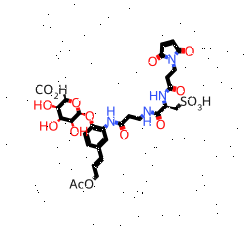 CC(=O)OC/C=C/c1ccc(O[C@@H]2O[C@H](C(=O)O)[C@H](O)[C@H](O)[C@@H]2O)c(NC(=O)CCNC(=O)[C@H](CS(=O)(=O)O)NC(=O)CCN2C(=O)C=CC2=O)c1